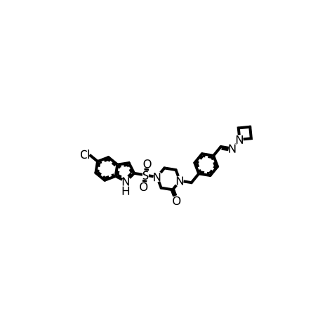 O=C1CN(S(=O)(=O)c2cc3cc(Cl)ccc3[nH]2)CCN1Cc1ccc(C=NN2CCC2)cc1